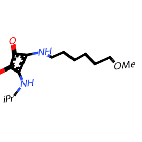 COCCCCCCNc1c(NC(C)C)c(=O)c1=O